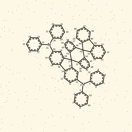 c1ccc(N(c2ccccc2)c2ccc3c(c2)C2(c4cc(N(c5ccccc5)c5ccccc5)ccc4-3)c3ccccc3C3(c4ccccc4-c4ccccc43)c3ccccc32)cc1